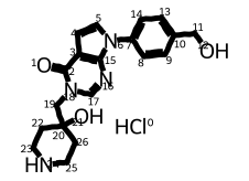 Cl.O=c1c2ccn(-c3ccc(CO)cc3)c2ncn1CC1(O)CCNCC1